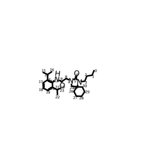 CCCCN1C(=O)N(CC(=O)Nc2c(C(C)C)cccc2C(C)C)CC12CCCCC2